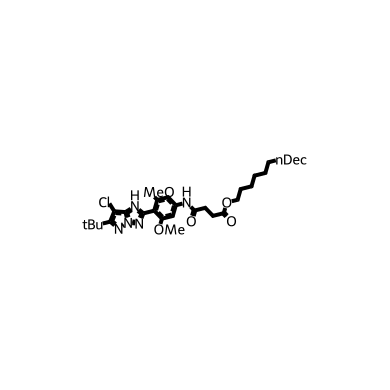 CCCCCCCCCCCCCCCCOC(=O)CCC(=O)Nc1cc(OC)c(-c2nn3nc(C(C)(C)C)c(Cl)c3[nH]2)c(OC)c1